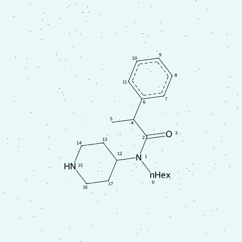 CCCCCCN(C(=O)C(C)c1ccccc1)C1CCNCC1